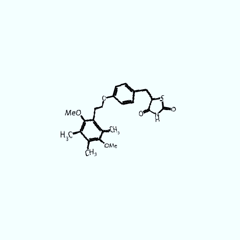 COc1c(C)c(C)c(OC)c(CCOc2ccc(CC3SC(=O)NC3=O)cc2)c1C